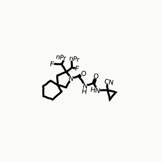 CCCC(F)C1(C(F)CCC)CC2(CCCCC2)CN1C(=O)NC(=O)NC1(C#N)CC1